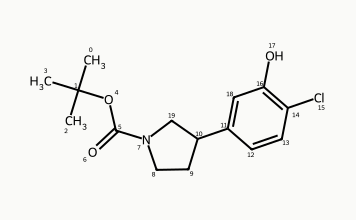 CC(C)(C)OC(=O)N1CCC(c2ccc(Cl)c(O)c2)C1